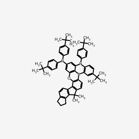 CC(C)(C)c1ccc(N(c2ccc(C(C)(C)C)cc2)c2cc3c4c(c2)N(c2ccc(C(C)(C)C)cc2)c2ccc(C(C)(C)C)cc2B4c2ccc4c(c2O3)-c2ccc3c(c2C4(C)C)CCC3)cc1